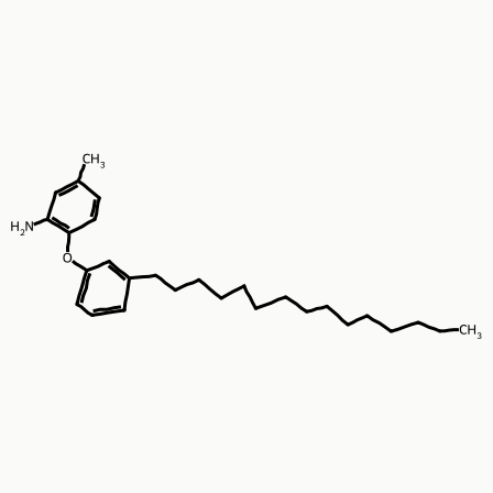 CCCCCCCCCCCCCCCc1cccc(Oc2ccc(C)cc2N)c1